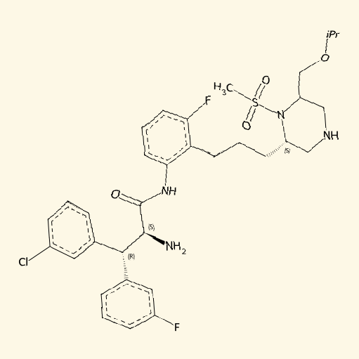 CC(C)OCC1CNC[C@H](CCCc2c(F)cccc2NC(=O)[C@@H](N)[C@H](c2cccc(F)c2)c2cccc(Cl)c2)N1S(C)(=O)=O